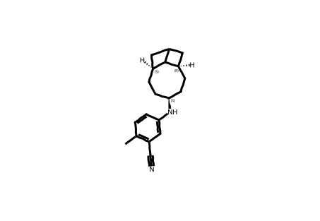 Cc1ccc(N[C@@H]2CC[C@@H]3CC4C[C@H](CC2)C43)cc1C#N